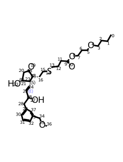 CCCCOCCCOC(=O)CCCSCC[C@H]1C(=O)C[C@@H](O)[C@H]1/C=C/[C@@H](O)Cc1cccc(COC)c1